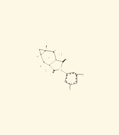 O=C1[C@@H]2[C@@H]3CC[C@@H]([C@@H]4C[C@@H]43)[C@@H]2C(=O)N1c1cc(F)cc(F)c1